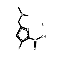 CN(C)Cc1cc(F)c(S(=O)O)s1.[Li]